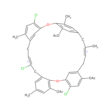 CC(=O)Oc1cc(Cl)c2cc1C/C=C(/C)Cc1cc(C)c(c(OC(C)=O)c1)Oc1cc(c(C)cc1Cl)C/C=C(/Cl)Cc1cc(C)cc(OC(C)=O)c1O2